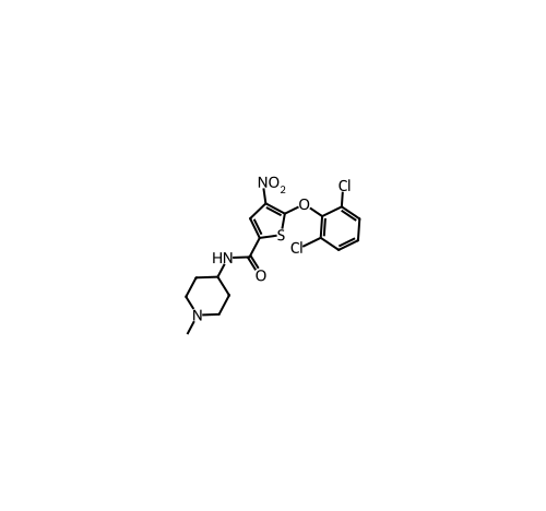 CN1CCC(NC(=O)c2cc([N+](=O)[O-])c(Oc3c(Cl)cccc3Cl)s2)CC1